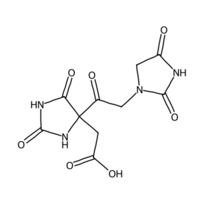 O=C(O)CC1(C(=O)CN2CC(=O)NC2=O)NC(=O)NC1=O